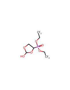 O=P(OCC(F)(F)F)(OCC(F)(F)F)C1COC(O)O1